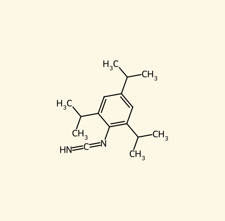 CC(C)c1cc(C(C)C)c(N=C=N)c(C(C)C)c1